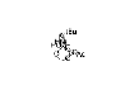 CC(=O)COc1cc2cc(c1)C(=O)N[C@H]([C@H](O)CNCc1cc(C(C)(C)C)ccn1)Cc1cccc(c1)CCCCO2